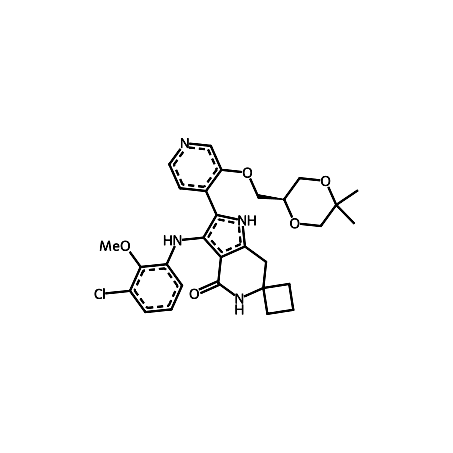 COc1c(Cl)cccc1Nc1c(-c2ccncc2OC[C@H]2COC(C)(C)CO2)[nH]c2c1C(=O)NC1(CCC1)C2